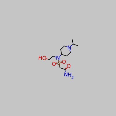 CC(C)N1CCC(N(CCO)S(=O)(=O)CC(N)=O)CC1